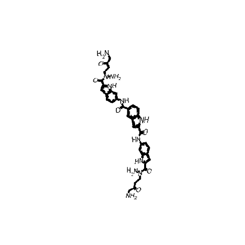 NCC(=O)CCN(N)C(=O)c1cc2ccc(NC(=O)c3ccc4[nH]c(C(=O)Nc5ccc6cc(C(=O)N(N)CCC(=O)CN)[nH]c6c5)cc4c3)cc2[nH]1